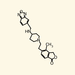 Cc1c(CCN2CCC(NCc3ccc4nonc4c3)CC2)ccc2c1COC2=O